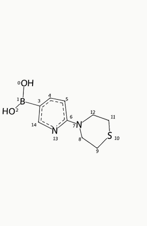 OB(O)c1ccc(N2CCSCC2)nc1